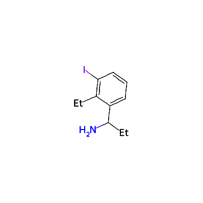 CCc1c(I)cccc1C(N)CC